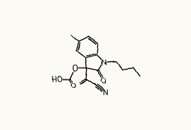 C=C(C#N)C1(OC(=O)O)C(=O)N(CCCC)c2ccc(C)cc21